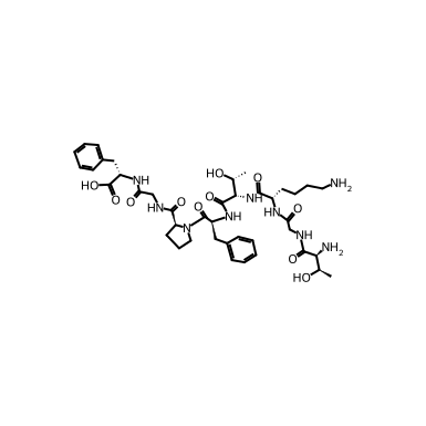 C[C@@H](O)[C@H](N)C(=O)NCC(=O)N[C@@H](CCCCN)C(=O)N[C@H](C(=O)N[C@@H](Cc1ccccc1)C(=O)N1CCC[C@H]1C(=O)NCC(=O)N[C@@H](Cc1ccccc1)C(=O)O)[C@@H](C)O